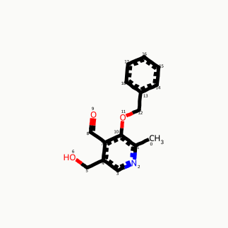 Cc1ncc(CO)c(C=O)c1OCc1ccccc1